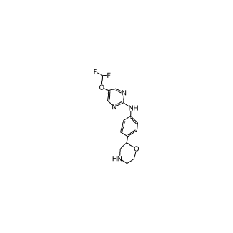 FC(F)Oc1cnc(Nc2ccc(C3CNCCO3)cc2)nc1